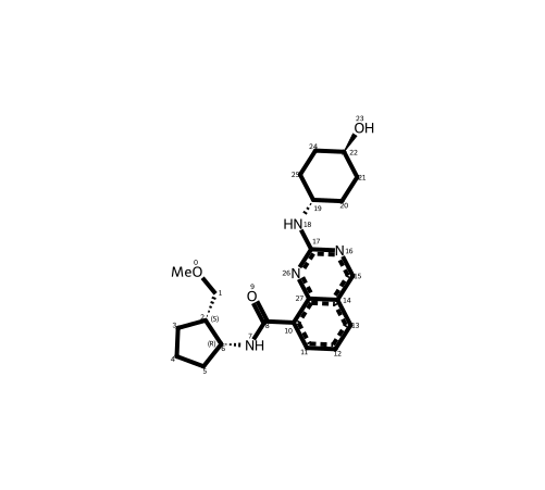 COC[C@H]1CCC[C@H]1NC(=O)c1cccc2cnc(N[C@H]3CC[C@H](O)CC3)nc12